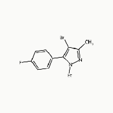 CCn1nc(C)c(Br)c1-c1ccc(F)cc1